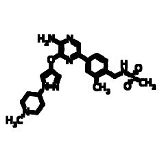 Cc1cc(-c2cnc(N)c(Oc3cnn(C4CCN(C)CC4)c3)n2)ccc1CNS(C)(=O)=O